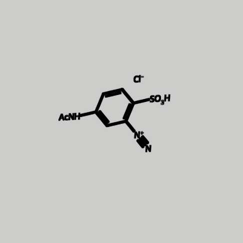 CC(=O)Nc1ccc(S(=O)(=O)O)c([N+]#N)c1.[Cl-]